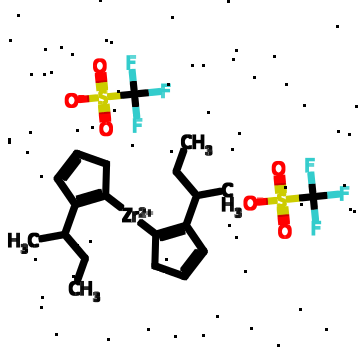 CCC(C)C1=[C]([Zr+2][C]2=C(C(C)CC)C=CC2)CC=C1.O=S(=O)([O-])C(F)(F)F.O=S(=O)([O-])C(F)(F)F